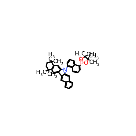 CC1(C)CCC(C)(C)c2cc3c(cc21)c1cc2ccccc2cc1n3-c1cccc2c(B3OC(C)(C)C(C)(C)O3)cccc12